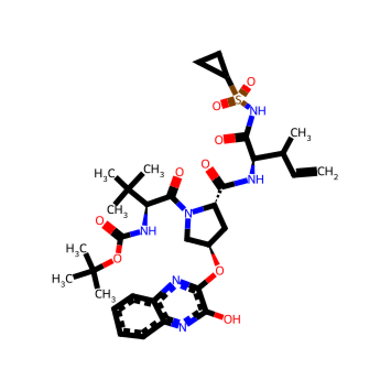 C=CC(C)[C@@H](NC(=O)[C@@H]1C[C@@H](Oc2nc3ccccc3nc2O)CN1C(=O)[C@@H](NC(=O)OC(C)(C)C)C(C)(C)C)C(=O)NS(=O)(=O)C1CC1